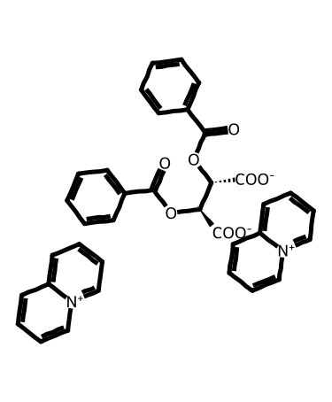 O=C(O[C@H](C(=O)[O-])[C@H](OC(=O)c1ccccc1)C(=O)[O-])c1ccccc1.c1cc[n+]2ccccc2c1.c1cc[n+]2ccccc2c1